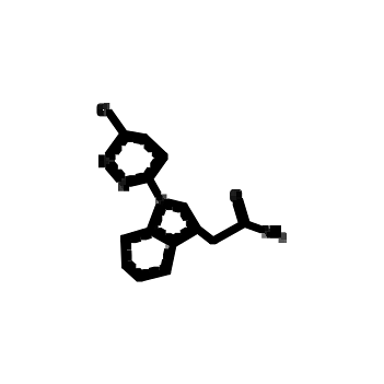 NC(=O)Cc1cn(-c2ccc(Cl)nn2)c2ccccc12